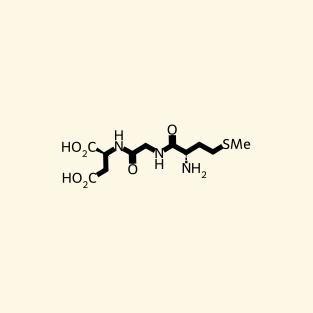 CSCC[C@H](N)C(=O)NCC(=O)N[C@@H](CC(=O)O)C(=O)O